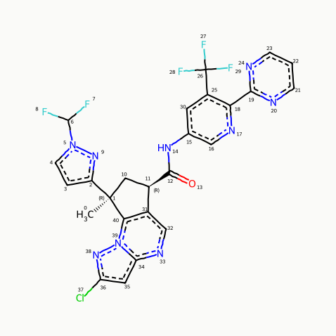 C[C@]1(c2ccn(C(F)F)n2)C[C@@H](C(=O)Nc2cnc(-c3ncccn3)c(C(F)(F)F)c2)c2cnc3cc(Cl)nn3c21